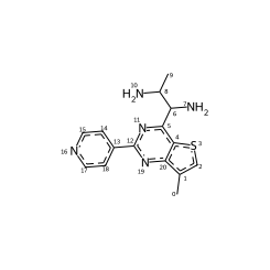 Cc1csc2c(C(N)C(C)N)nc(-c3ccncc3)nc12